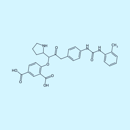 Cc1ccccc1NC(=O)Nc1ccc(CC(=O)C(Oc2ccc(C(=O)O)cc2C(=O)O)C2CCCN2)cc1